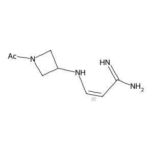 CC(=O)N1CC(N/C=C\C(=N)N)C1